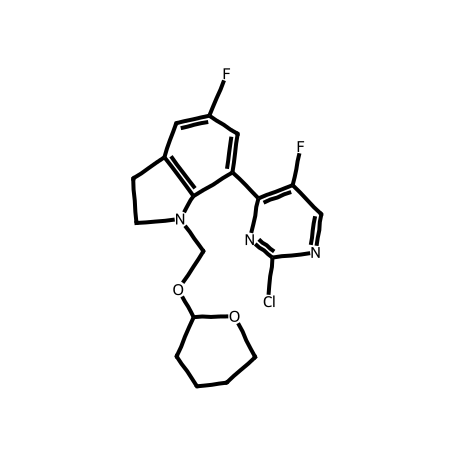 Fc1cc2c(c(-c3nc(Cl)ncc3F)c1)N(COC1CCCCO1)CC2